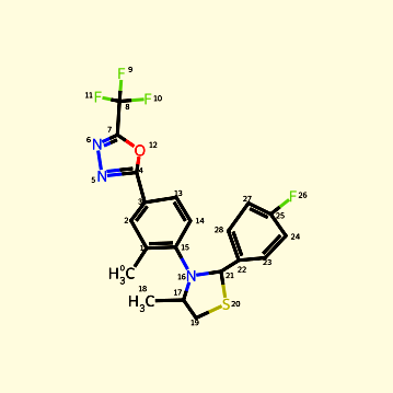 Cc1cc(-c2nnc(C(F)(F)F)o2)ccc1N1C(C)CSC1c1ccc(F)cc1